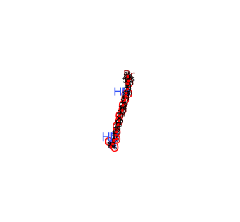 O=C(CCN1C(=O)C=CC1=O)NCCOCCOCCOCCOCCOCCOCCOCCOC(=O)NCCCCOc1ccc(Br)cc1